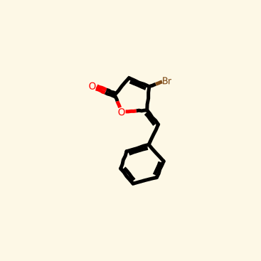 O=C1C=C(Br)/C(=C/c2ccccc2)O1